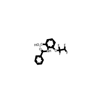 O=C(Nc1c(OC(F)(F)C(F)F)cccc1C(=O)O)c1ccccc1